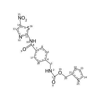 O=C(NCc1ccc(C(=O)Nc2ncc([N+](=O)[O-])s2)cc1)OCc1cccs1